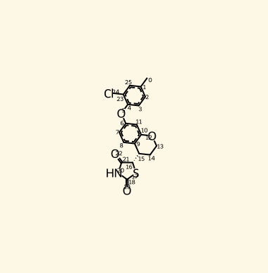 Cc1ccc(Oc2ccc3c(c2)OCCC3[C@@H]2SC(=O)NC2=O)c(Cl)c1